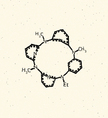 CCN1c2cccc(c2)N(C)c2cccc(c2)N(C)c2cccc(n2)N(C)c2cccc1n2